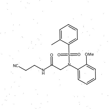 COc1ccccc1N(CC(=O)NCCC#N)S(=O)(=O)c1ccccc1C